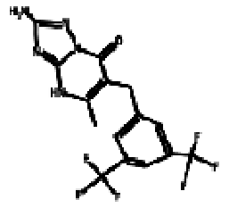 Cc1[nH]c2nc(N)nn2c(=O)c1Cc1cc(C(F)(F)F)cc(C(F)(F)F)c1